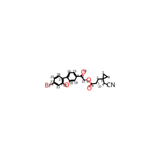 C[C@@H](CC1(CC#N)CC1)C(=O)OCC(=O)c1ccc2c(c1)oc1cc(Br)ccc12